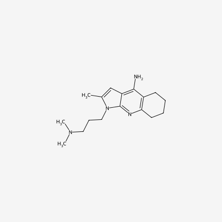 Cc1cc2c(N)c3c(nc2n1CCCN(C)C)CCCC3